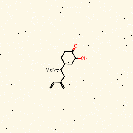 C=CC(=C)CC(NC)C1CCC(=O)C(O)C1